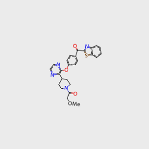 COCC(=O)N1CCC(c2nccnc2Oc2ccc(C(=O)c3nc4ccccc4s3)cc2)CC1